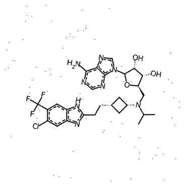 CC(C)N(C[C@H]1OC(n2cnc3c(N)ncnc32)[C@H](O)[C@@H]1O)[C@H]1C[C@@H](CCc2nc3cc(Cl)c(C(F)(F)F)cc3[nH]2)C1